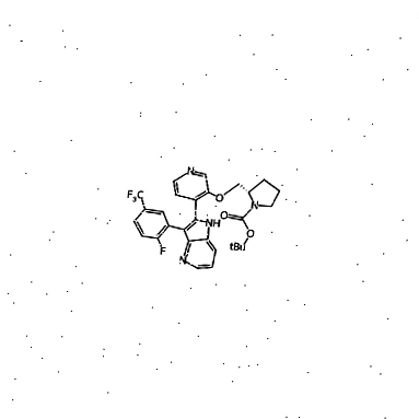 CC(C)(C)OC(=O)N1CCC[C@H]1COc1cnccc1-c1[nH]c2cccnc2c1-c1cc(C(F)(F)F)ccc1F